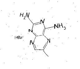 Br.Cc1cnc2nc(N)nc(N)c2n1